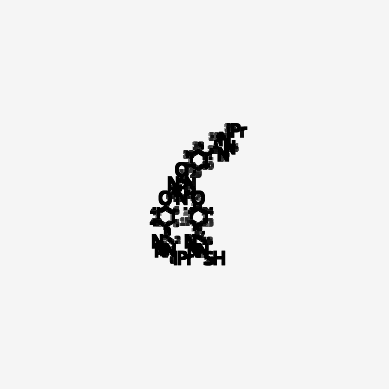 CC(C)n1cc(-c2ccc(Oc3nc(Oc4ccc(-c5cn(S)nn5)cc4)nc(Oc4ccc(-c5cn(C(C)C)nn5)cc4)n3)cc2)nn1